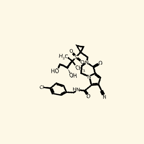 CC(C)([C@H](O)CO)S(=O)(=O)C1(CN2CCn3c(cc(C#N)c3C(=O)NCc3ccc(Cl)cc3)C2=O)CC1